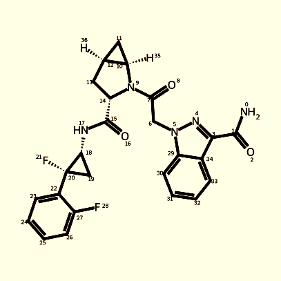 NC(=O)c1nn(CC(=O)N2[C@@H]3C[C@@H]3C[C@H]2C(=O)N[C@@H]2C[C@@]2(F)c2ccccc2F)c2ccccc12